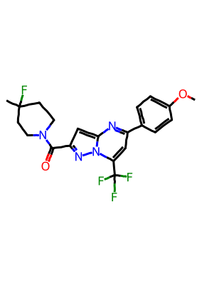 COc1ccc(-c2cc(C(F)(F)F)n3nc(C(=O)N4CCC(C)(F)CC4)cc3n2)cc1